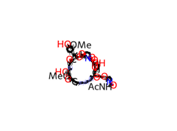 CO[C@@H]1C[C@H](C[C@@H](C)[C@@H]2CC(=O)[C@H](C)/C=C(\C)[C@@H](O)[C@@H](OC)C(=O)[C@H](C)C[C@H](C)/C=C/C=C/C=C(\C)C(OCCO[C@@H]3CCN(C(=O)NC(C)=O)C3)C[C@@H]3CC[C@@H](C)[C@@](O)(O3)C(=O)C(=O)N3CCCC[C@H]3C(=O)O2)CC[C@H]1O